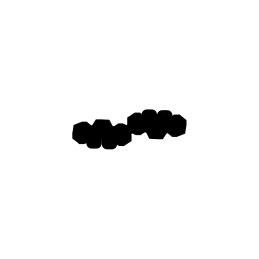 c1ccc2c(c1)oc1c2ccc2c3cc(-c4ccc5oc6c(ccc7c8ccccc8oc76)c5c4)ccc3oc21